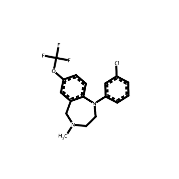 CN1CCN(c2cccc(Cl)c2)c2ccc(OC(F)(F)F)cc2C1